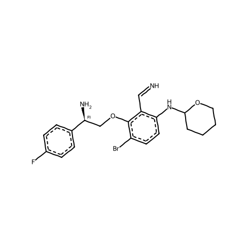 N=Cc1c(NC2CCCCO2)ccc(Br)c1OC[C@H](N)c1ccc(F)cc1